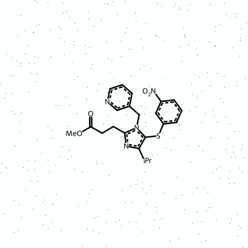 COC(=O)CCc1nc(C(C)C)c(Sc2cccc([N+](=O)[O-])c2)n1Cc1cccnc1